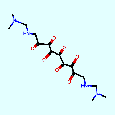 CN(C)CNCC(=O)C(=O)C(=O)C(=O)C(=O)C(=O)C(=O)CNCN(C)C